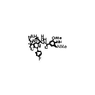 CN/C=C1/C=C(C(=O)NC[C@](O)(c2cc3c(c(-c4ccc(F)cc4)n2)OC[C@]3(C)N(N)/C=N\N)C2CC2)C=C(OC)C1=N